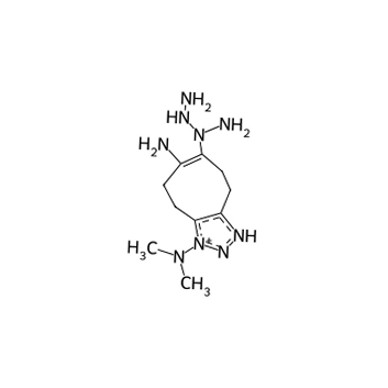 CN(C)[n+]1n[nH]c2c1CC/C(N)=C(/N(N)NN)CC2